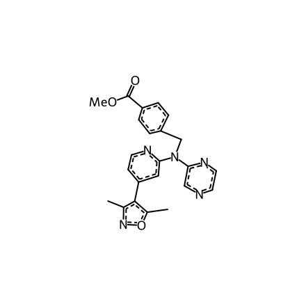 COC(=O)c1ccc(CN(c2cnccn2)c2cc(-c3c(C)noc3C)ccn2)cc1